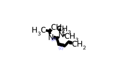 C=C/C=C\C(=N\C(=C)C)N(C)C